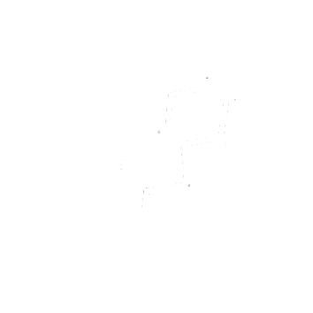 CCC(=S)Cc1ccccc1